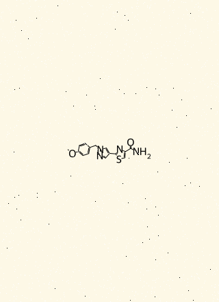 COc1ccc(Cn2cc(-c3nc(C(N)=O)cs3)cn2)cc1